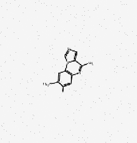 Nc1nc2cc(F)c(C(=O)O)cc2n2cncc12